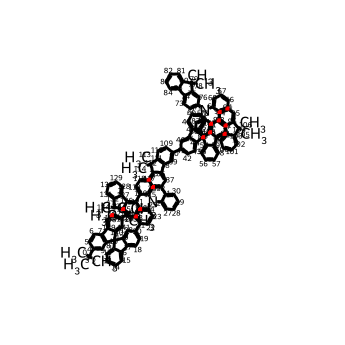 CC(C)(C)c1ccc2c(c1)C1(c3ccccc3-c3ccc(-c4ccc(N(c5ccccc5-c5ccc6c(c5)-c5cc(-c7ccc8c(c7)-c7ccccc7C87c8ccccc8-c8ccc(-c9ccccc9N(c9ccc%10c(c9)C(C)(C)c9ccccc9-%10)c9ccccc9-c9cccc%10c9-c9ccccc9C%10(C)C)cc87)ccc5C6(C)C)c5ccccc5-c5cccc6c5-c5ccccc5C6(C)C)cc4)cc31)c1cc(C(C)(C)C)ccc1-2